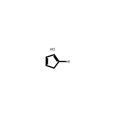 Cl.[Hf][C]1=CC=CC1